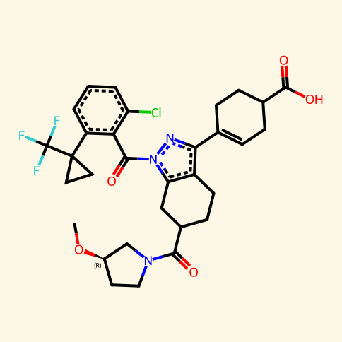 CO[C@@H]1CCN(C(=O)C2CCc3c(C4=CCC(C(=O)O)CC4)nn(C(=O)c4c(Cl)cccc4C4(C(F)(F)F)CC4)c3C2)C1